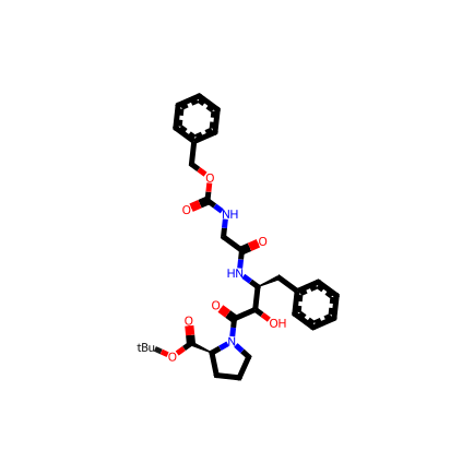 CC(C)(C)OC(=O)[C@@H]1CCCN1C(=O)C(O)[C@H](Cc1ccccc1)NC(=O)CNC(=O)OCc1ccccc1